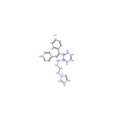 Fc1ccc(-c2c(-c3ccncc3)n(CCCn3ccnc3)c3nccnc23)cc1